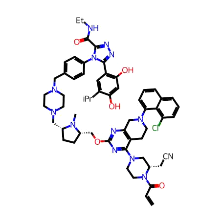 C=CC(=O)N1CCN(c2nc(OC[C@@H]3CC[C@H](CN4CCN(Cc5ccc(-n6c(C(=O)NCC)nnc6-c6cc(C(C)C)c(O)cc6O)cc5)CC4)N3C)nc3c2CCN(c2cccc4cccc(Cl)c24)C3)C[C@@H]1CC#N